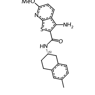 COc1ccc2c(N)c(C(=O)N[C@H]3CCc4cc(C)ccc4C3)sc2n1